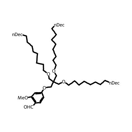 CCCCCCCCCCCCCCCCCCOCC(COCCCCCCCCCCCCCCCCCC)(COCCCCCCCCCCCCCCCCCC)COc1ccc(C=O)c(OC)c1